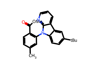 COC(=O)c1ccc(C)cc1-n1c2ccc(C(C)(C)C)cc2c2cccnc21